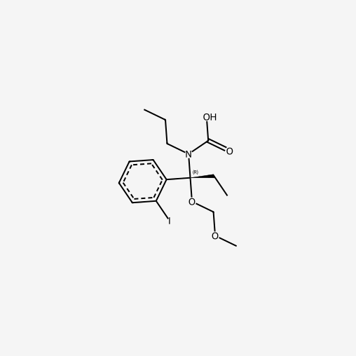 CCCN(C(=O)O)[C@](CC)(OCOC)c1ccccc1I